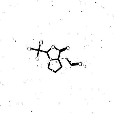 C=CC[C@]12CCCN1C(C(Cl)(Cl)Cl)OC2=O